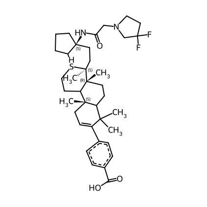 CC1(C)C(c2ccc(C(=O)O)cc2)=CC[C@@]2(C)C1CC[C@]1(C)C2CC[SH]2C3CCC[C@]3(NC(=O)CN3CCC(F)(F)C3)CC[C@]21C